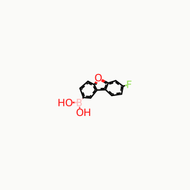 OB(O)c1ccc2oc3cc(F)ccc3c2c1